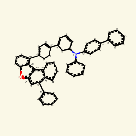 C1=CC(N(c2ccccc2)c2ccc(-c3ccccc3)cc2)CC(C2=CC=C(c3cccc4oc5cc(-c6ccccc6)c6ccccc6c5c34)CC2)=C1